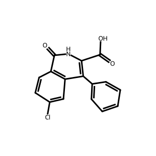 O=C(O)c1[nH]c(=O)c2ccc(Cl)cc2c1-c1ccccc1